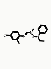 CCN(SN(C)C=Nc1ccc(Cl)cc1C)c1ccccc1